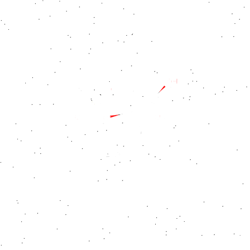 CC(=O)OC[C@H]1O[C@H](O)C[C@@H]1OS(=O)(=O)C(F)(F)F